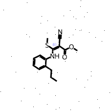 CCCc1ccccc1N/C(SC)=C(/C#N)C(=O)OC